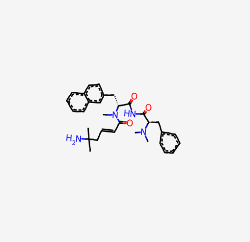 CN(C)[C@H](Cc1ccccc1)C(=O)NC(=O)[C@@H](Cc1ccc2ccccc2c1)N(C)C(=O)/C=C/CC(C)(C)N